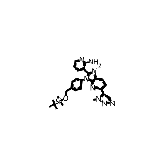 Cn1nncc1-c1ccc2nc(-c3cccnc3N)n(-c3ccc(CO[Si](C)(C)C(C)(C)C)cc3)c2n1